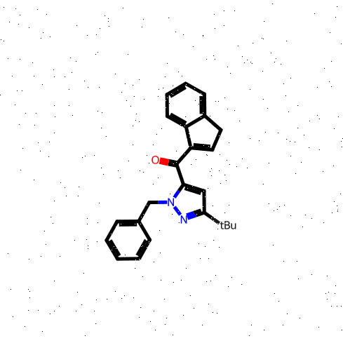 CC(C)(C)c1cc(C(=O)C2=CCc3ccccc32)n(Cc2ccccc2)n1